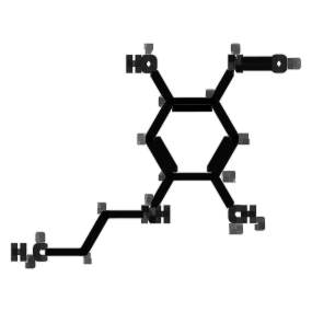 CCCNc1cc(O)c(N=O)cc1C